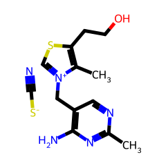 Cc1ncc(C[n+]2csc(CCO)c2C)c(N)n1.N#C[S-]